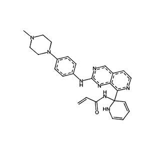 C=CC(=O)NC1(c2nccc3cnc(Nc4ccc(N5CCN(C)CC5)cc4)nc23)C=CC=CN1